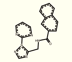 O=C(NCc1ncnn1-c1ncccn1)c1ccc2ccccc2c1